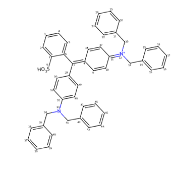 O=S(=O)(O)c1ccccc1C(=C1C=CC(=[N+](Cc2ccccc2)Cc2ccccc2)C=C1)c1ccc(N(Cc2ccccc2)Cc2ccccc2)cc1